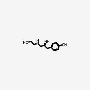 N#Cc1ccc(CC(=N)CNCCO)cc1